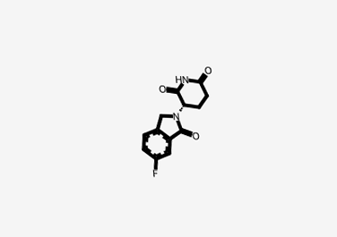 O=C1CC[C@H](N2Cc3ccc(F)cc3C2=O)C(=O)N1